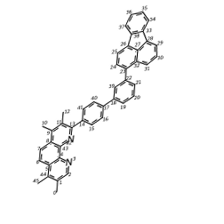 Cc1cnc2c(ccc3c(C)c(C)c(-c4ccc(-c5cccc(-c6ccc7c8c(cccc68)-c6ccccc6-7)c5)cc4)nc32)c1C